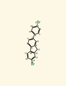 Brc1ccc(-c2ccc3c(c2)Cc2cc(Br)ccc2-3)cc1